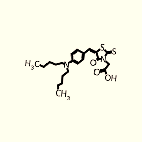 CCCCCN(CCCCC)c1ccc(C=C2SC(=S)N(CC(=O)O)C2=O)cc1